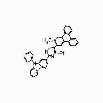 CCc1nc(-c2ccc3c4ccccc4n(-c4ccccc4)c3c2)ncc1-c1cc2c3ccccc3c3ccccc3c2cc1C